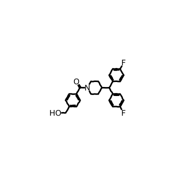 O=C(c1ccc(CO)cc1)N1CCC(C(c2ccc(F)cc2)c2ccc(F)cc2)CC1